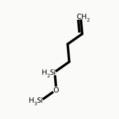 C=CCC[SiH2]O[SiH3]